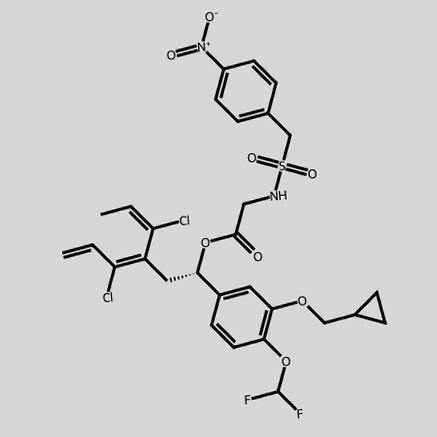 C=C/C(Cl)=C(C[C@H](OC(=O)CNS(=O)(=O)Cc1ccc([N+](=O)[O-])cc1)c1ccc(OC(F)F)c(OCC2CC2)c1)\C(Cl)=C/C